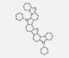 c1ccc(-n2c3ccccc3c3c4sc5c(ccc6c5c5ccc7sc8ccccc8c7c5n6-c5ccccc5)c4ccc32)cc1